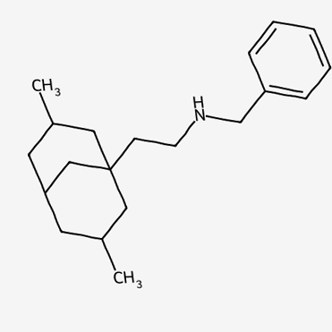 CC1CC2CC(C)CC(CCNCc3ccccc3)(C1)C2